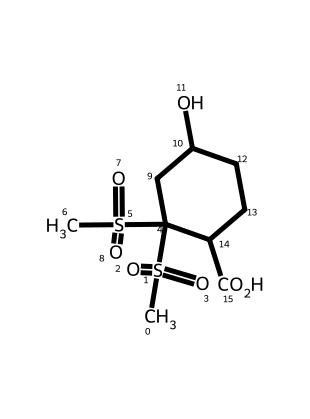 CS(=O)(=O)C1(S(C)(=O)=O)CC(O)CCC1C(=O)O